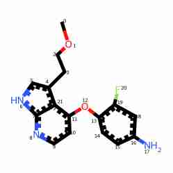 COCCc1c[nH]c2nccc(Oc3ccc(N)cc3F)c12